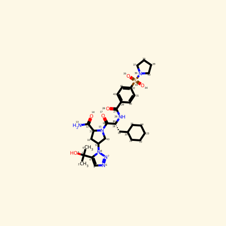 CC(C)(O)c1cnnn1C1CC(C(N)=O)N(C(=O)[C@@H](CC2CCCCC2)NC(=O)c2ccc(S(=O)(=O)N3CCCC3)cc2)C1